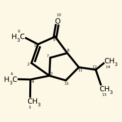 CC1=CC2(C(C)C)CC(C1=O)C(C(C)C)C2